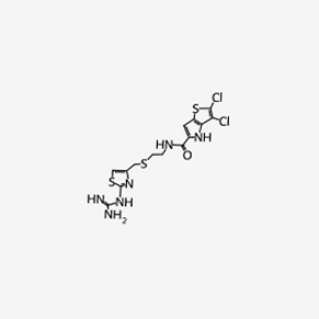 N=C(N)Nc1nc(CSCCNC(=O)c2cc3sc(Cl)c(Cl)c3[nH]2)cs1